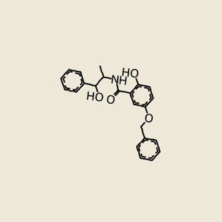 CC(NC(=O)c1cc(OCc2ccccc2)ccc1O)C(O)c1ccccc1